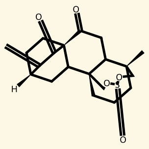 C=C1C(=O)[C@]23CC[C@H]1CC2[C@@]12CCC[C@@](C)(COS(=O)OC1)C2CC3=O